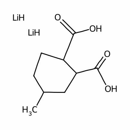 CC1CCC(C(=O)O)C(C(=O)O)C1.[LiH].[LiH]